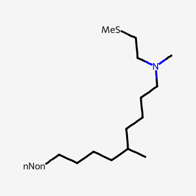 CCCCCCCCCCCCCC(C)CCCCN(C)CCSC